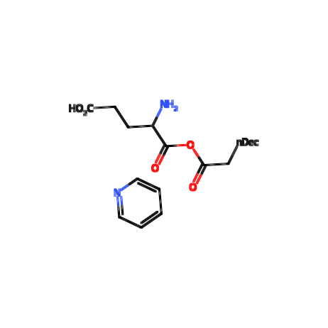 CCCCCCCCCCCC(=O)OC(=O)C(N)CCC(=O)O.c1ccncc1